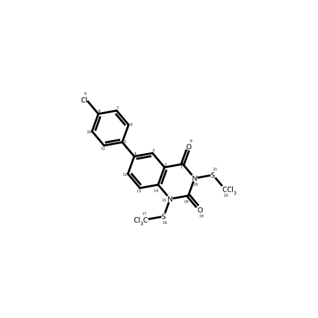 O=c1c2cc(-c3ccc(Cl)cc3)ccc2n(SC(Cl)(Cl)Cl)c(=O)n1SC(Cl)(Cl)Cl